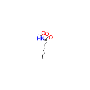 C=CCCCCC[C@@H](NC(C)=O)C(=O)OC